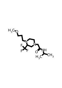 COCCCN1CCN(CC(=O)NC(C)C)CC1C(F)(F)F